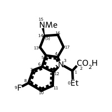 CCC(C(=O)O)n1c2c(c3cc(F)ccc31)C[C@@H](NC)CC2